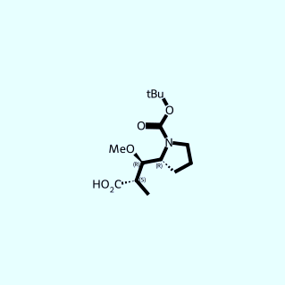 CO[C@H]([C@H](C)C(=O)O)[C@H]1CCCN1C(=O)OC(C)(C)C